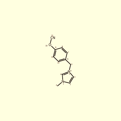 Cn1cc[n+](Cc2ccc(OC#N)cc2)c1